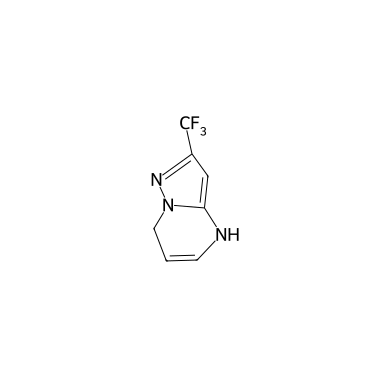 FC(F)(F)c1cc2n(n1)CC=CN2